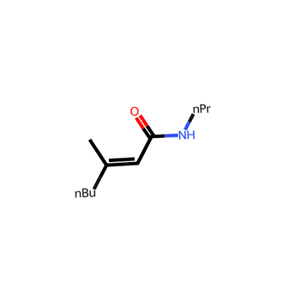 CCCC/C(C)=C/C(=O)NCCC